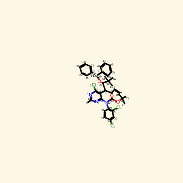 C=CCC(c1c(Cl)nc(C)nc1N(C(=O)OC(C)(C)C)c1ccc(Cl)cc1Cl)C(O[SiH](c1ccccc1)c1ccccc1)C(C)(C)C